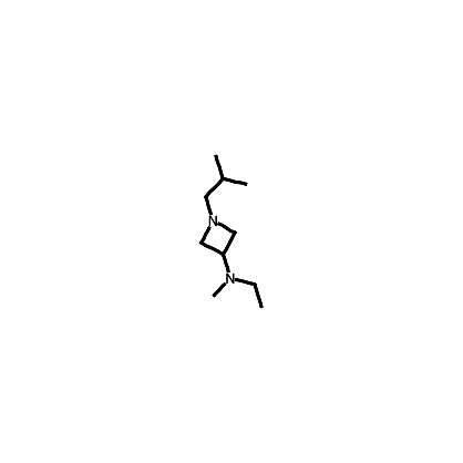 CCN(C)C1CN(CC(C)C)C1